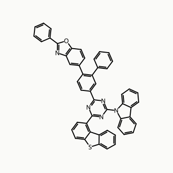 c1ccc(-c2nc3cc(-c4ccc(-c5nc(-c6cccc7sc8ccccc8c67)nc(-n6c7ccccc7c7ccccc76)n5)cc4-c4ccccc4)ccc3o2)cc1